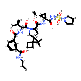 C=C[C@@H]1C[C@]1(NC(=O)C1C[C@@]2(CN1C(=O)[C@@H](NC(=O)c1cccc(C(=O)NCCC)c1)C(=C)C)C(C)(C)C21CCC1)C(=O)NS(=O)(=O)N1CCCC1